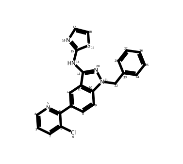 Clc1cccnc1-c1ccc2c(c1)c(Nc1nccs1)nn2Cc1ccccc1